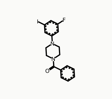 O=C(c1ccccc1)N1CCN(c2cc(F)cc(I)c2)CC1